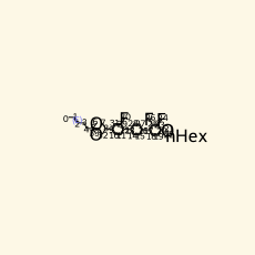 C/C=C/CCC1OCC(c2ccc(-c3ccc(-c4ccc(OCCCCCC)c(F)c4F)cc3)c(F)c2)CO1